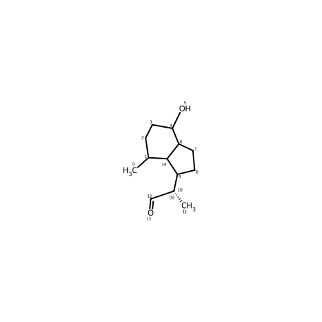 CC1CCC(O)C2CCC([C@H](C)C=O)C12